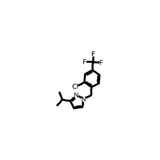 CC(C)c1ccn(Cc2ccc(C(F)(F)F)cc2Cl)n1